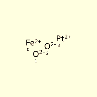 [Fe+2].[O-2].[O-2].[Pt+2]